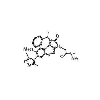 CCCNC(=O)Cn1c(=O)n([C@H](C)c2ccccn2)c2c3cc(OC)c(-c4c(C)noc4C)cc3ncc21